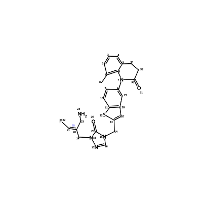 Cc1cccc2c1N(c1ccc3sc(Cn4cnn(C/C(=C/F)CN)c4=O)cc3c1)C(=O)CC2